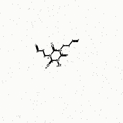 C=CCCN1C(=C)N(CC)C(=O)N(CCC=C)C1=O